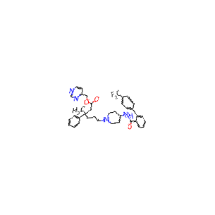 CC(CCCN1CCC(NC(=O)c2ccccc2-c2ccc(C(F)(F)F)cc2)CC1)(CC(=O)OCc1ccncn1)c1ccccc1